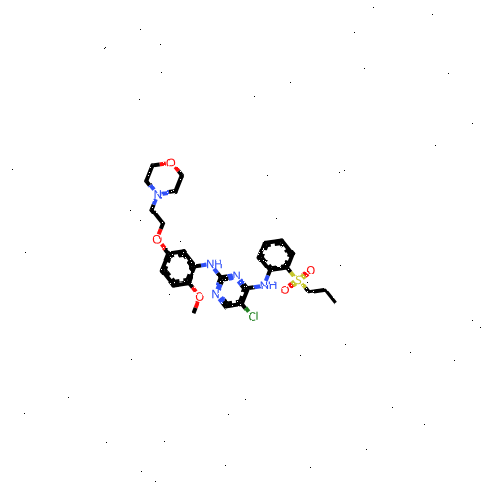 CCCS(=O)(=O)c1ccccc1Nc1nc(Nc2cc(OCCN3CCOCC3)ccc2OC)ncc1Cl